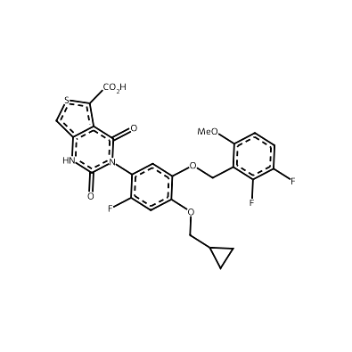 COc1ccc(F)c(F)c1COc1cc(-n2c(=O)[nH]c3csc(C(=O)O)c3c2=O)c(F)cc1OCC1CC1